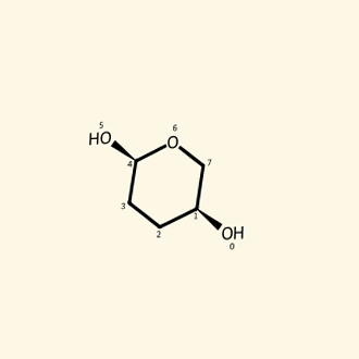 O[C@H]1CC[C@@H](O)OC1